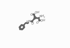 NC(C(=O)O)C1C(C(=O)O)C1C(=O)NCCc1ccccc1